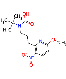 COc1ccc([N+](=O)[O-])c(CCCN(C(=O)O)C(C)(C)C)n1